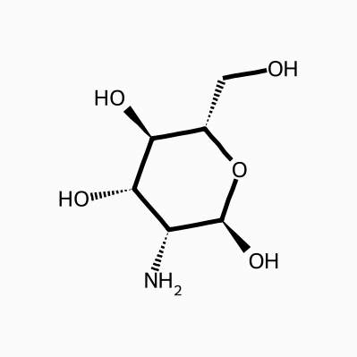 N[C@@H]1[C@H](O)[C@@H](O)[C@H](CO)O[C@H]1O